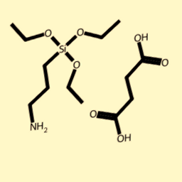 CCO[Si](CCCN)(OCC)OCC.O=C(O)CCC(=O)O